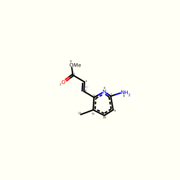 COC(=O)/C=C/c1nc(N)ccc1C